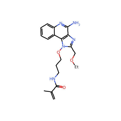 C=C(C)C(=O)NCCCOn1c(COCC)nc2c(N)nc3ccccc3c21